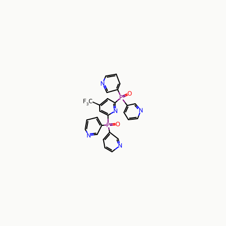 O=P(c1cccnc1)(c1cccnc1)c1cc(C(F)(F)F)cc(P(=O)(c2cccnc2)c2cccnc2)n1